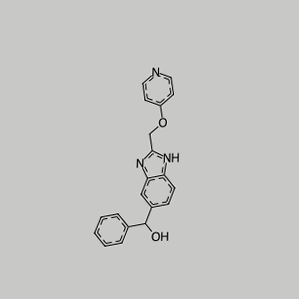 OC(c1ccccc1)c1ccc2[nH]c(COc3ccncc3)nc2c1